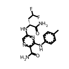 Cc1ccc(Nc2nc(N[C@H](CC(F)F)C(N)=O)cnc2C(N)=O)cc1